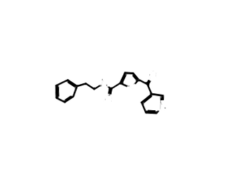 O=C(NCCc1ccccc1)c1ccc(C(=O)c2cccnc2)s1